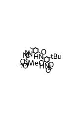 COc1c(NC(=O)c2ccc(C)c(-n3cc([C@H]4COC(C)(C)O4)nn3)c2)cc(C(C)(C)C)cc1NS(C)(=O)=O